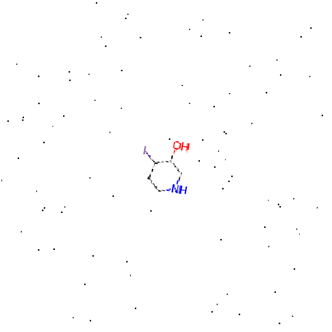 OC1CNCCC1I